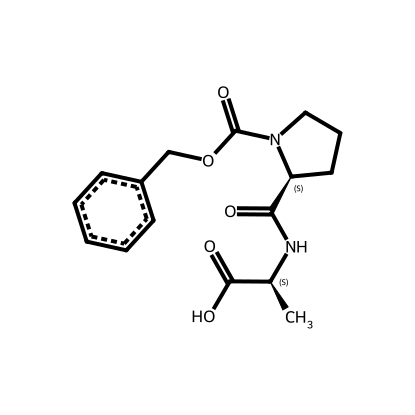 C[C@H](NC(=O)[C@@H]1CCCN1C(=O)OCc1ccccc1)C(=O)O